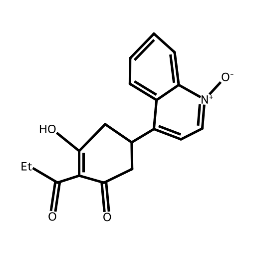 CCC(=O)C1=C(O)CC(c2cc[n+]([O-])c3ccccc23)CC1=O